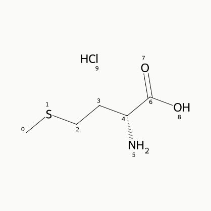 CSCC[C@@H](N)C(=O)O.Cl